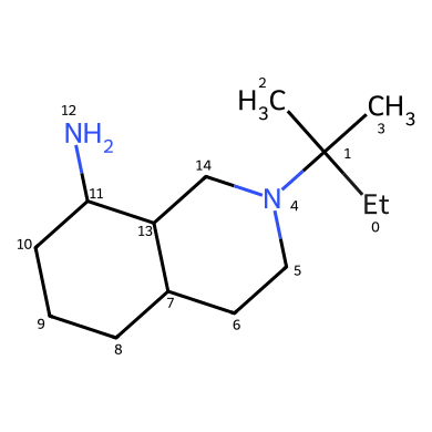 CCC(C)(C)N1CCC2CCCC(N)C2C1